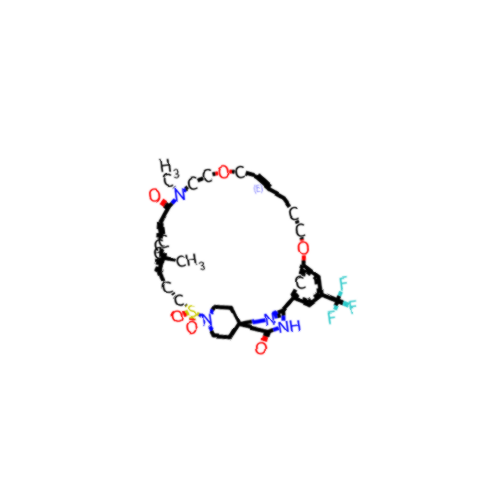 Cc1cc2ccc1CCS(=O)(=O)N1CCC3(CC1)N=C(NC3=O)c1cc(cc(C(F)(F)F)c1)OCCC/C=C/COCCN(C)C2=O